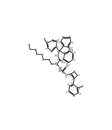 CCCCCCCC[C@H](NC(=O)OC1=C(c2ccccc2C)CC1)C(=O)OC(c1ccccc1)(c1ccc(C)cc1)c1ccccc1Cl